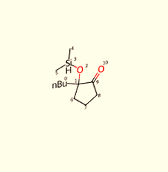 CCCCC1(O[SiH](C)C)CCCC1=O